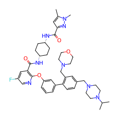 Cc1cc(C(=O)N[C@H]2CC[C@@H](NC(=O)c3cc(F)cnc3Oc3cccc(-c4ccc(CN5CCN(C(C)C)CC5)cc4CN4CCOCC4)c3)CC2)nn1C